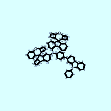 c1ccc(-n2c3ccccc3c3ccc(-c4ccc(N(c5ccc6c(c5)C5(c7ccccc7Oc7ccccc75)c5ccccc5-6)c5cccc6c5-c5ccccc5C65c6ccccc6Oc6ccccc65)cc4)cc32)cc1